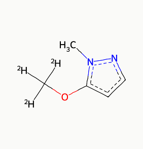 [2H]C([2H])([2H])Oc1ccnn1C